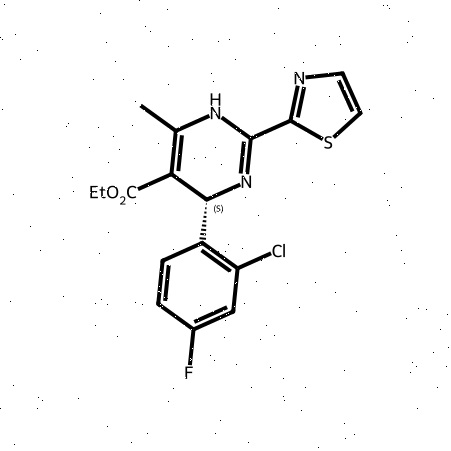 CCOC(=O)C1=C(C)NC(c2nccs2)=N[C@@H]1c1ccc(F)cc1Cl